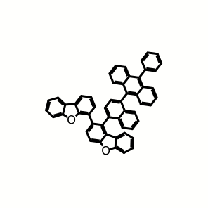 c1ccc(-c2c3ccccc3c(-c3ccc(-c4c(-c5cccc6c5oc5ccccc56)ccc5oc6ccccc6c45)c4ccccc34)c3ccccc23)cc1